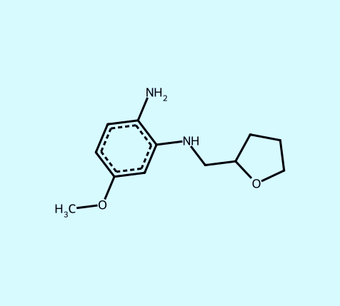 COc1ccc(N)c(NCC2CCCO2)c1